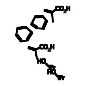 C=C(C)C(=O)O.C=C(C)C(=O)O.CC(C)O.CC(C)O.c1ccccc1.c1ccccc1